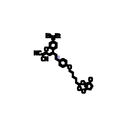 CCN(CC)c1ccc2c(c1)OC(=C(C#N)C#N)C=C2/C=C/c1ccc(OCCCCCC(=O)ON2C(=O)CCC2=O)cc1